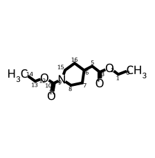 CCOC(=O)CC1CCN(C(=O)OCC)CC1